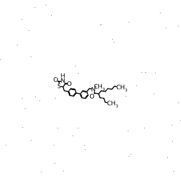 CCCCCCC(CCCC)C(=O)N(C)Cc1cccc(-c2ccc(CC3SC(=O)NC3=O)cc2)c1